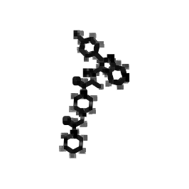 CC(Nc1c(-c2ccc(F)cc2)nc2cnccn12)C(=O)N1CCN(CC(=O)N2CCCCC2)CC1